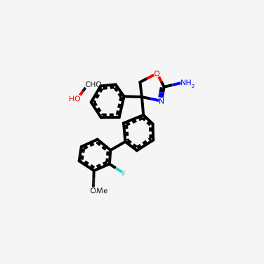 COc1cccc(-c2cccc(C3(c4ccccc4)COC(N)=N3)c2)c1F.O=CO